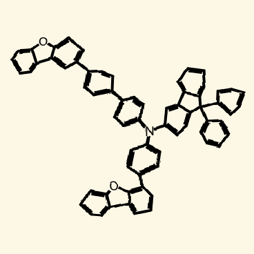 c1ccc(C2(c3ccccc3)c3ccccc3-c3cc(N(c4ccc(-c5ccc(-c6ccc7oc8ccccc8c7c6)cc5)cc4)c4ccc(-c5cccc6c5oc5ccccc56)cc4)ccc32)cc1